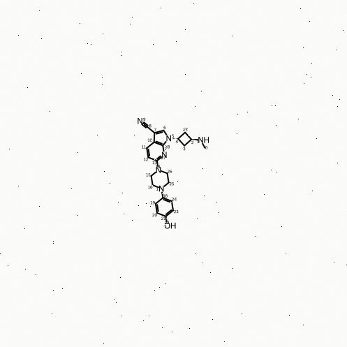 CN[C@H]1C[C@H](n2cc(C#N)c3ccc(N4CCN(c5ccc(O)cc5)CC4)nc32)C1